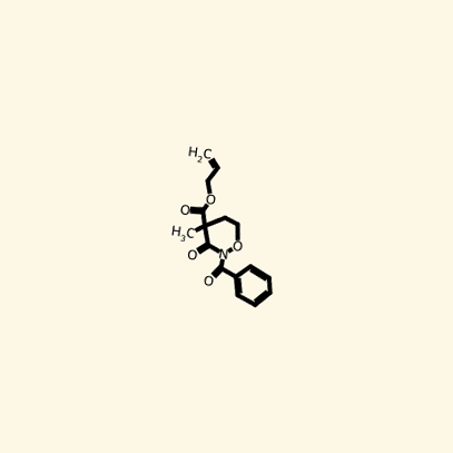 C=CCOC(=O)C1(C)CCON(C(=O)c2ccccc2)C1=O